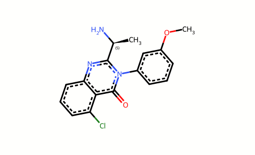 COc1cccc(-n2c([C@H](C)N)nc3cccc(Cl)c3c2=O)c1